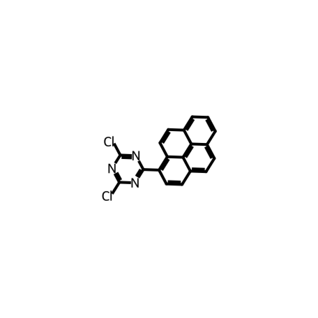 Clc1nc(Cl)nc(-c2ccc3ccc4cccc5ccc2c3c45)n1